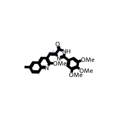 COc1cc(C2=N/C(=C\c3cc4cc(C)ccc4nc3OC)C(=O)N2)cc(OC)c1OC